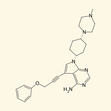 CN1CCN([C@H]2CC[C@@H](n3cc(C#CCOc4ccccc4)c4c(N)ncnc43)CC2)CC1